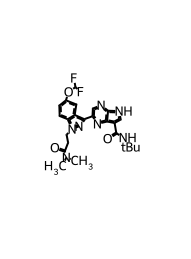 CN(C)C(=O)CCn1nc(-c2cnc3[nH]cc(C(=O)NC(C)(C)C)c3n2)c2cc(OC(F)F)ccc21